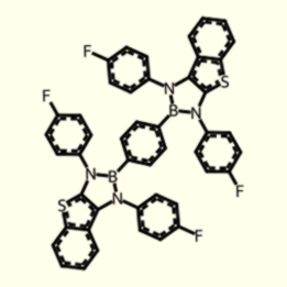 Fc1ccc(N2B(c3ccc(B4N(c5ccc(F)cc5)c5sc6ccccc6c5N4c4ccc(F)cc4)cc3)N(c3ccc(F)cc3)c3c2sc2ccccc32)cc1